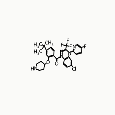 CC(C)(C)c1ccc(C(=O)Nc2ccc(Cl)cc2N(C(=O)C(F)(F)F)c2ccc(F)cn2)c(OC2CCNCC2)c1